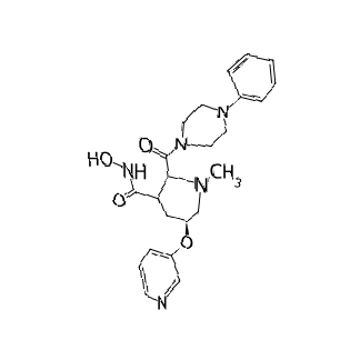 CN1C[C@@H](Oc2cccnc2)CC(C(=O)NO)C1C(=O)N1CCN(c2ccccc2)CC1